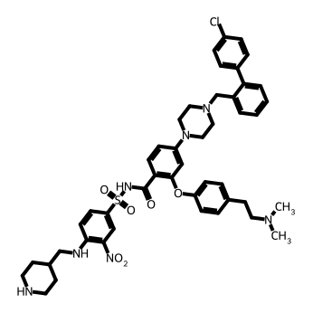 CN(C)CCc1ccc(Oc2cc(N3CCN(Cc4ccccc4-c4ccc(Cl)cc4)CC3)ccc2C(=O)NS(=O)(=O)c2ccc(NCC3CCNCC3)c([N+](=O)[O-])c2)cc1